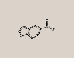 O=[N+]([O-])c1ccc2occc2c1